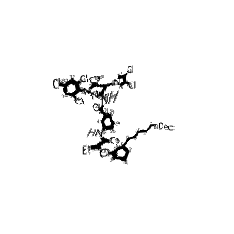 CCCCCCCCCCCCCCCc1cccc(OC(CC)C(=O)Nc2cccc(C(=O)NC3=NN(c4c(Cl)cc(Cl)cc4Cl)C(=O)C3n3cc(Cl)c(Cl)c3)c2)c1